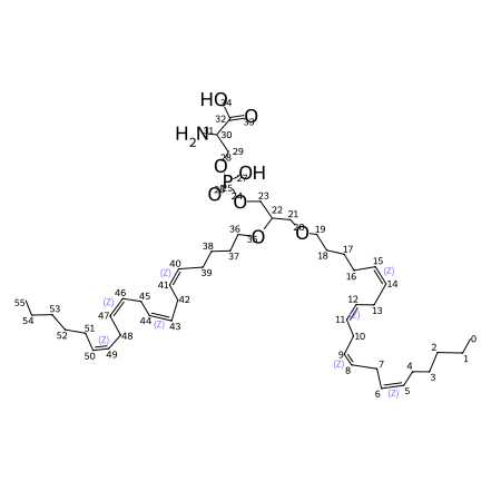 CCCCC/C=C\C/C=C\C/C=C\C/C=C\CCCCOCC(COP(=O)(O)OCC(N)C(=O)O)OCCCC/C=C\C/C=C\C/C=C\C/C=C\CCCCC